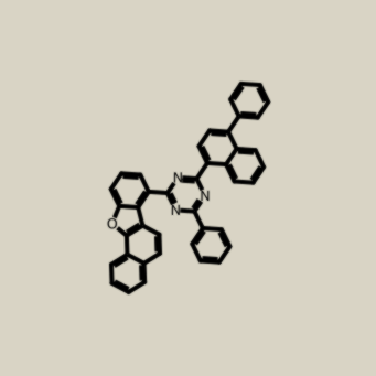 c1ccc(-c2nc(-c3ccc(-c4ccccc4)c4ccccc34)nc(-c3cccc4oc5c6ccccc6ccc5c34)n2)cc1